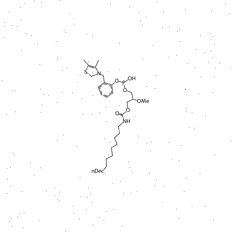 CCCCCCCCCCCCCCCCCCNC(=O)OCC(COP(O)Oc1ccccc1CN1CSC(C)=C1C)OC